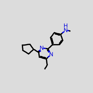 CCc1cc(C2CCCC2)nc(-c2ccc(NC)cc2)n1